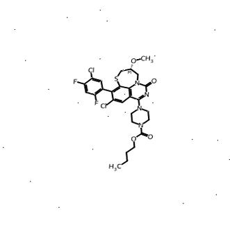 CCCCOC(=O)N1CCN(c2nc(=O)n3c4c(c(-c5cc(Cl)c(F)cc5F)c(Cl)cc24)SC[C@H](OC)C3)CC1